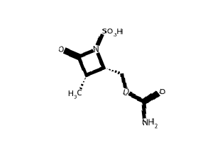 C[C@@H]1C(=O)N(S(=O)(=O)O)[C@@H]1COC(N)=O